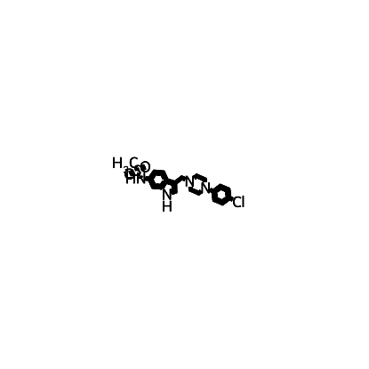 CS(=O)(=O)Nc1ccc2c(CN3CCN(c4ccc(Cl)cc4)CC3)c[nH]c2c1